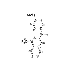 COc1ccc(N(C)c2cc(C(F)(F)F)c3ccccc3n2)cc1